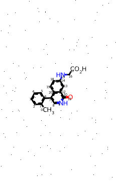 Cc1ccccc1-c1c[nH]c(=O)c2cc(NCC(=O)O)ccc12